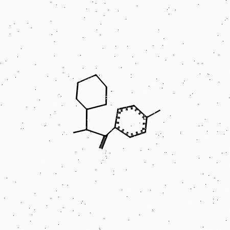 N#CC(C(=O)c1ccc(Cl)cc1)C1CCCCC1